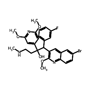 CNCCC(O)(c1cc(OC)nc(OC)c1)C(c1cccc(F)c1)c1cc2cc(Br)ccc2nc1OC